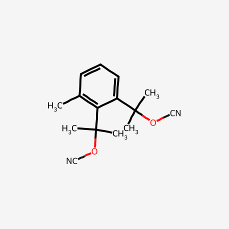 Cc1cccc(C(C)(C)OC#N)c1C(C)(C)OC#N